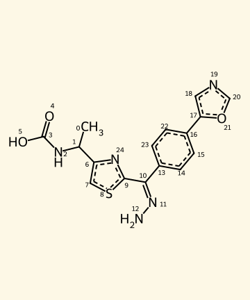 CC(NC(=O)O)c1csc(/C(=N\N)c2ccc(-c3cnco3)cc2)n1